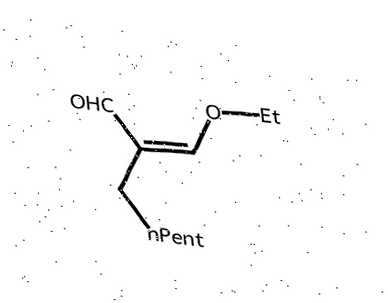 CCCCCCC(C=O)=COCC